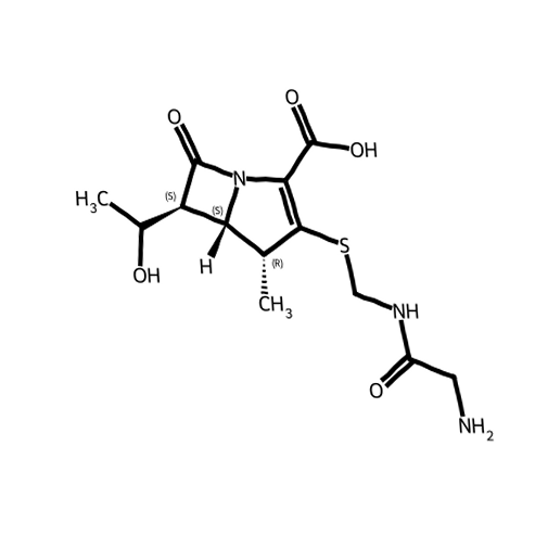 CC(O)[C@H]1C(=O)N2C(C(=O)O)=C(SCNC(=O)CN)[C@H](C)[C@H]12